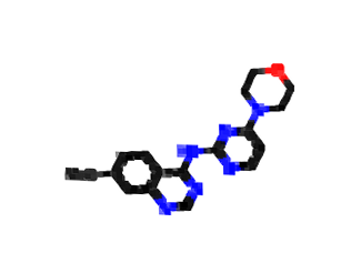 COc1[c]cc2c(Nc3nccc(N4CCOCC4)n3)ncnc2c1